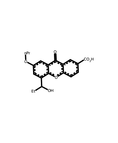 CCCOc1cc(C(O)CC)c2oc3ccc(C(=O)O)cc3c(=O)c2c1